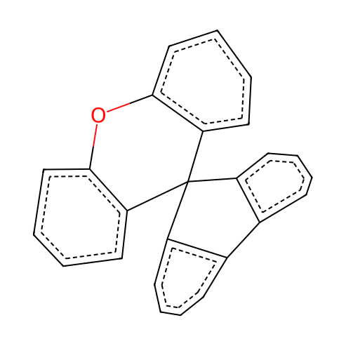 c1ccc2c(c1)Oc1ccccc1C21c2ccccc2-c2ccccc21